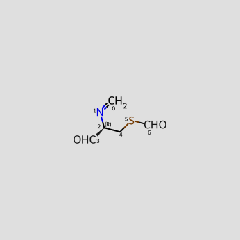 C=N[C@H](C=O)CSC=O